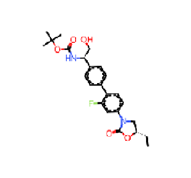 CC[C@H]1CN(c2ccc(-c3ccc([C@H](CO)NC(=O)OC(C)(C)C)cc3)c(F)c2)C(=O)O1